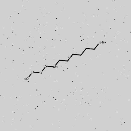 CCCCCCCCCCCCNSOOO